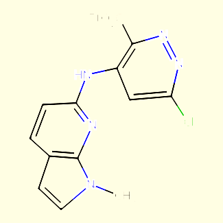 CCOC(=O)c1nnc(Cl)cc1Nc1ccc2ccn(C)c2n1